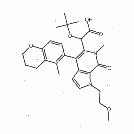 COCCn1ccc2c(-c3ccc4c(c3C)CCCO4)c(C(OC(C)(C)C)C(=O)O)n(C)c(=O)c21